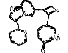 O=c1ccc(C2=NC=C2c2ccc3ncc(-c4ccccn4)n3c2)c[nH]1